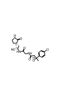 CC(O)(CC(=O)NCC(=O)N[C@H](C#N)C[C@@H]1CCNC1=O)c1ccc(Cl)cc1